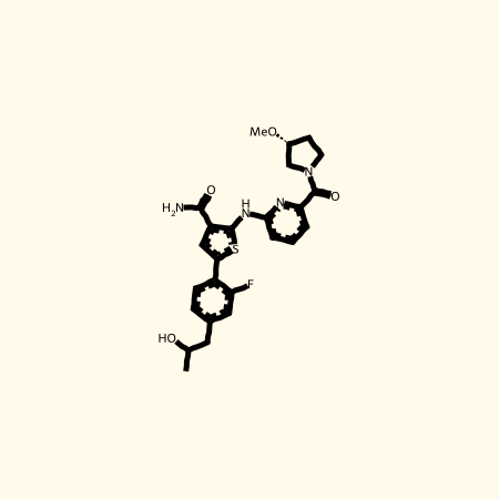 CO[C@@H]1CCN(C(=O)c2cccc(Nc3sc(-c4ccc(CC(C)O)cc4F)cc3C(N)=O)n2)C1